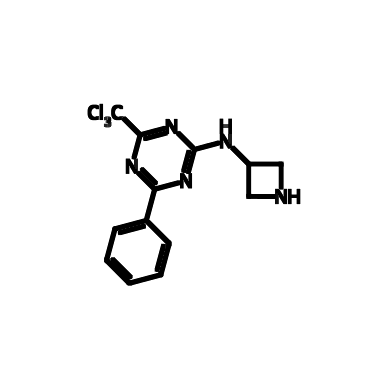 ClC(Cl)(Cl)c1nc(NC2CNC2)nc(-c2ccccc2)n1